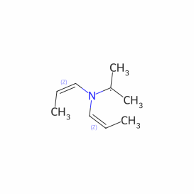 C/C=C\N(/C=C\C)[C](C)C